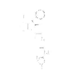 Cc1cc(NC(=O)C[N+]2(C)CCC(OC(=O)[C@](O)(c3ccccc3)C3CCCC3)C2)no1